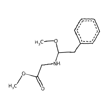 COC(=O)CNC(Cc1ccccc1)OC